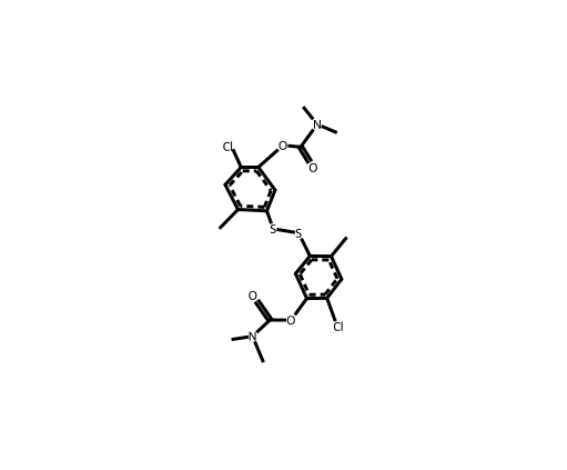 Cc1cc(Cl)c(OC(=O)N(C)C)cc1SSc1cc(OC(=O)N(C)C)c(Cl)cc1C